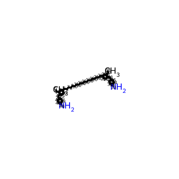 CCc1cc(CCCCCCCCCCCCCCCCCCCc2ccc(Cc3ccc(N)cc3)c(CC)c2)ccc1Cc1ccc(N)cc1